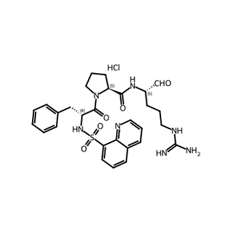 Cl.N=C(N)NCCC[C@@H](C=O)NC(=O)[C@@H]1CCCN1C(=O)[C@@H](Cc1ccccc1)NS(=O)(=O)c1cccc2cccnc12